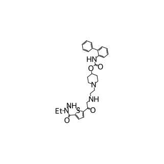 CCN(N)C(=O)c1ccc(C(=O)CNCCN2CCC(OC(=O)Nc3ccccc3-c3ccccc3)CC2)s1